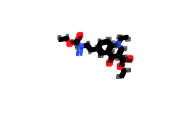 CCOC(=O)NCCc1ccc2c(c1)c(=O)c(C(=O)OCC)cn2CC